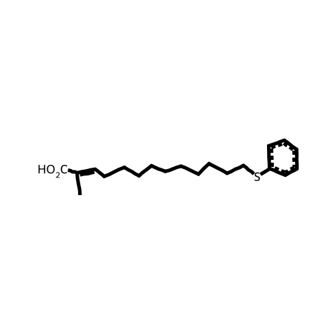 CC(=CCCCCCCCCCCSc1ccccc1)C(=O)O